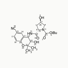 CC(C)COC(=O)N1C[C@H](O)C[C@H]1C(=O)NC1c2cc(C#N)ccc2OC(C)(C)C1O